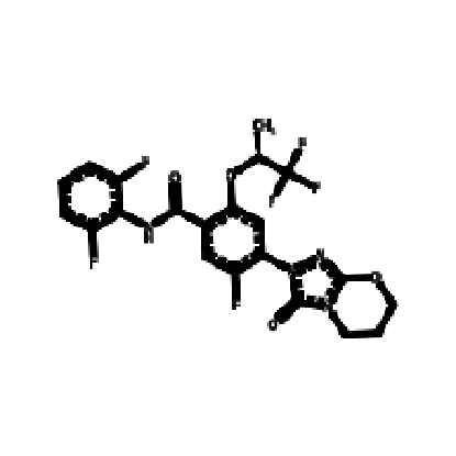 C[C@H](Oc1cc(-n2nc3n(c2=O)CCCO3)c(F)cc1C(=O)Nc1c(F)cccc1F)C(F)(F)F